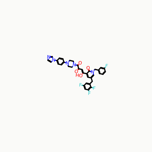 O=C(C=C(O)c1cc(Cc2cc(F)cc(F)c2F)cn(Cc2cccc(F)c2)c1=O)C(=O)N1CCN(c2ccc(-n3ccnc3)cc2)CC1